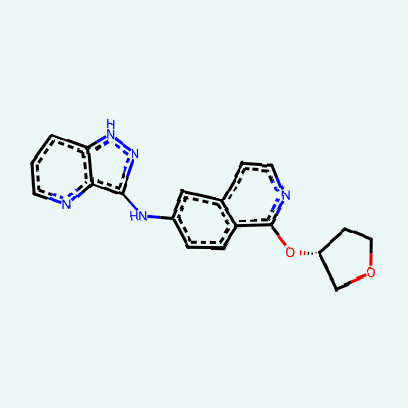 c1cnc2c(Nc3ccc4c(O[C@@H]5CCOC5)nccc4c3)n[nH]c2c1